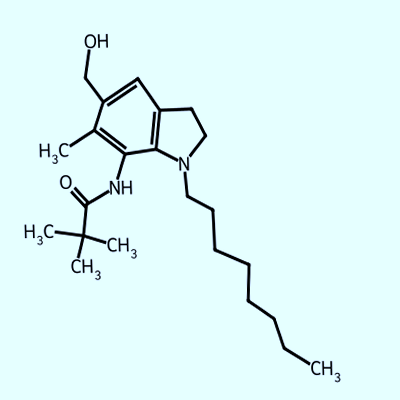 CCCCCCCCN1CCc2cc(CO)c(C)c(NC(=O)C(C)(C)C)c21